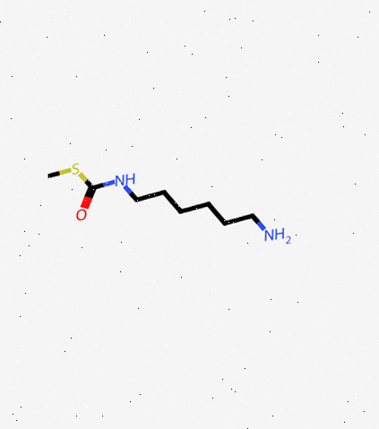 CSC(=O)NCCCCCCN